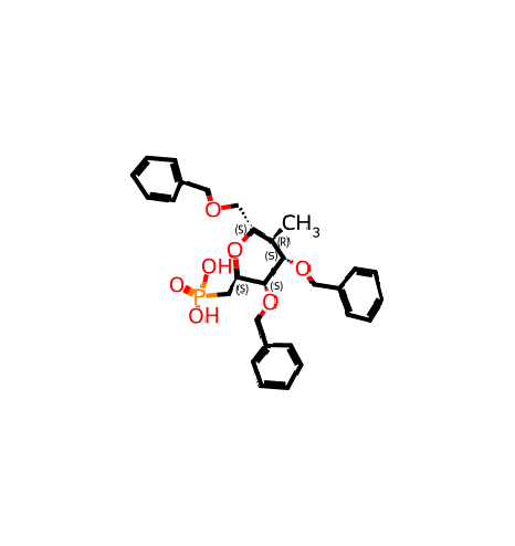 C[C@H]1[C@H](OCc2ccccc2)[C@H](OCc2ccccc2)[C@@H](CP(=O)(O)O)O[C@@H]1COCc1ccccc1